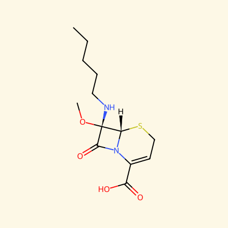 CCCCCN[C@]1(OC)C(=O)N2C(C(=O)O)=CCS[C@H]21